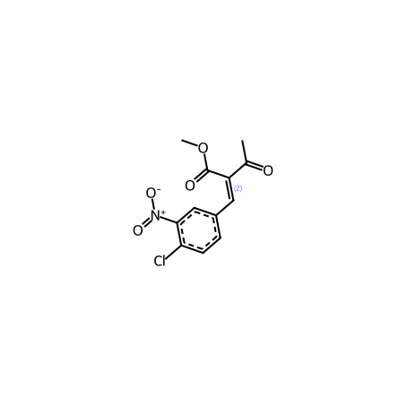 COC(=O)/C(=C\c1ccc(Cl)c([N+](=O)[O-])c1)C(C)=O